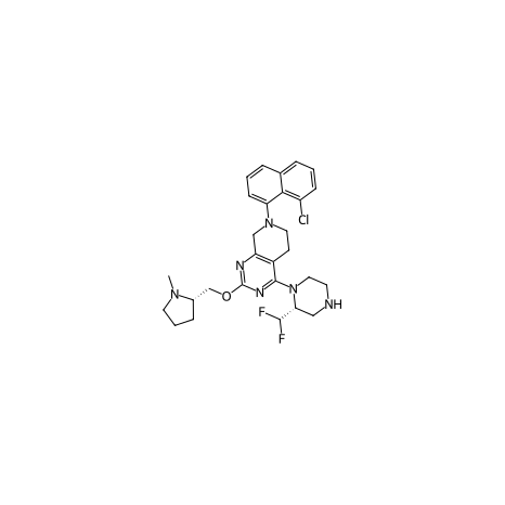 CN1CCC[C@H]1COc1nc2c(c(N3CCNC[C@@H]3C(F)F)n1)CCN(c1cccc3cccc(Cl)c13)C2